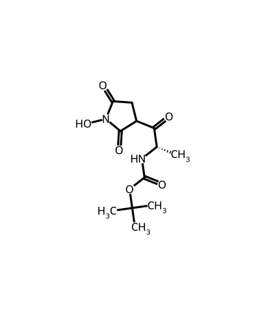 C[C@H](NC(=O)OC(C)(C)C)C(=O)C1CC(=O)N(O)C1=O